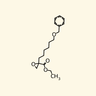 CCOC(=O)C1(CCCCCCOCc2ccccc2)CO1